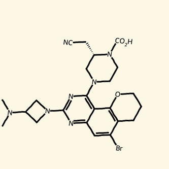 CN(C)C1CN(c2nc(N3CCN(C(=O)O)[C@@H](CC#N)C3)c3c4c(c(Br)cc3n2)CCCO4)C1